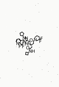 O=C(C[C@H](CCN1CCCC(F)(F)C1)NC(=O)c1nc(-c2cccnc2C(F)(F)F)n(C2CCCC2)n1)NC1CCC1